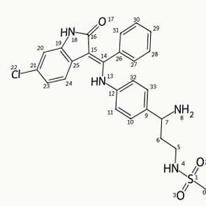 CS(=O)(=O)NCCC(N)c1ccc(NC(=C2C(=O)Nc3cc(Cl)ccc32)c2ccccc2)cc1